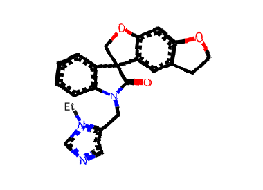 CCn1cncc1CN1C(=O)C2(COc3cc4c(cc32)CCO4)c2ccccc21